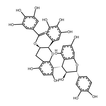 O=C(O[C@@H]1Cc2c(O)cc(O)c([C@@H]3c4c(O)cc(O)cc4O[C@H](c4ccc(O)c(O)c4)[C@H]3O)c2O[C@@H]1c1cc(O)c(O)c(O)c1)c1cc(O)c(O)c(O)c1